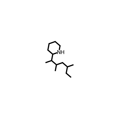 CCC(C)CC(C)C(C)C1CCCCN1